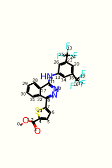 COC(=O)c1ccc(-c2nnc(Nc3cc(C(F)(F)F)cc(C(F)(F)F)c3)c3ccccc23)s1